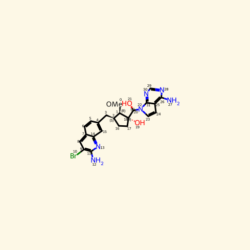 CO[C@@H]1[C@H](Cc2ccc3cc(Br)c(N)nc3c2)CC[C@]1(O)[C@@H](O)n1ccc2c(N)ncnc21